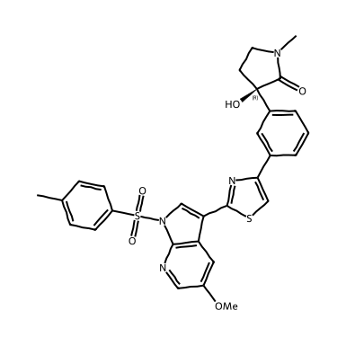 COc1cnc2c(c1)c(-c1nc(-c3cccc([C@]4(O)CCN(C)C4=O)c3)cs1)cn2S(=O)(=O)c1ccc(C)cc1